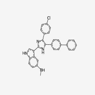 CBc1ccc2[nH]cc(-c3nc(-c4ccc(Cl)cc4)c(-c4ccc(-c5ccccc5)cc4)[nH]3)c2c1